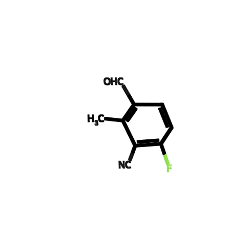 Cc1c(C=O)ccc(F)c1C#N